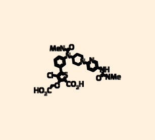 CNC(=O)Nc1ccc(N2CCC(N(C(=O)NC)c3cccc(-c4sc(C(=O)O)c(OCC(=O)O)c4Cl)c3)CC2)nc1